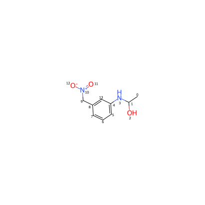 CC(O)Nc1cccc(C[N+](=O)[O-])c1